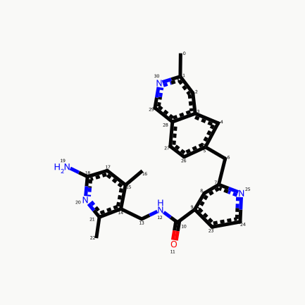 Cc1cc2cc(Cc3cc(C(=O)NCc4c(C)cc(N)nc4C)ccn3)ccc2cn1